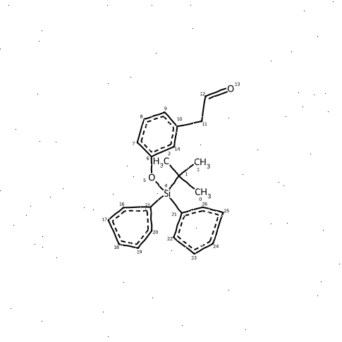 CC(C)(C)[Si](Oc1cccc(CC=O)c1)(c1ccccc1)c1ccccc1